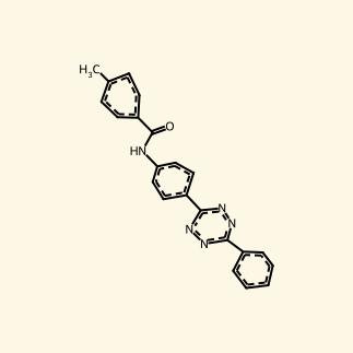 Cc1ccc(C(=O)Nc2ccc(-c3nnc(-c4ccccc4)nn3)cc2)cc1